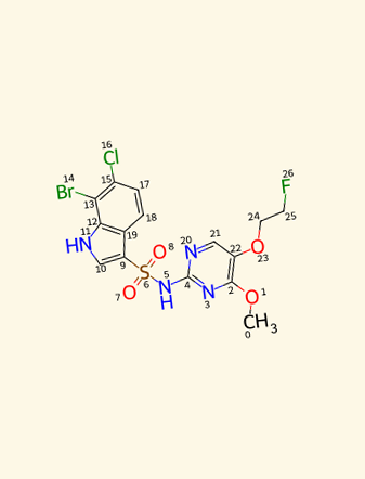 COc1nc(NS(=O)(=O)c2c[nH]c3c(Br)c(Cl)ccc23)ncc1OCCF